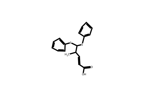 CC(C=CC(=O)O)C(Sc1ccccc1)Sc1ccccc1